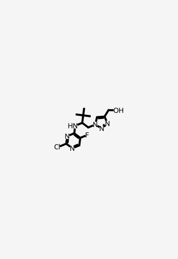 CC(C)(C)C(Cn1cc(CO)nn1)Nc1nc(Cl)ncc1F